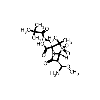 COC(N)[C@H]1C(=O)N2[C@@H]1S(=O)(=O)C(C)(C)[C@]2(COC(=O)C(C)(C)C)C(=O)O